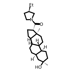 CC[C@@H]1CCN(C(=O)[C@H]2CC[C@H]3[C@@H]4CC[C@@H]5C[C@](C)(O)CC[C@@H]5[C@H]4CC[C@]23C)C1